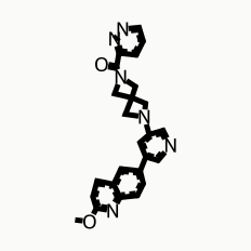 COc1ccc2cc(-c3cncc(N4CC5(CN(C(=O)c6cccnn6)C5)C4)c3)ccc2n1